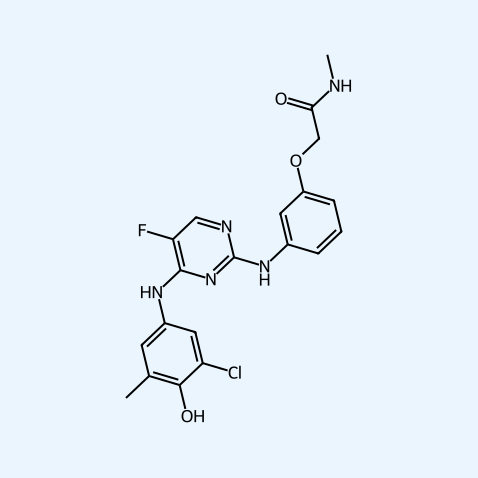 CNC(=O)COc1cccc(Nc2ncc(F)c(Nc3cc(C)c(O)c(Cl)c3)n2)c1